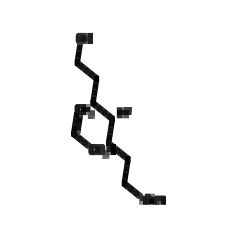 C=CC(=O)O.CCCCCCCCCCCCCCCCO.F